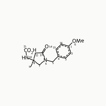 COc1ccc(CN2CC(C)(NC(=O)O)CC2=O)cc1